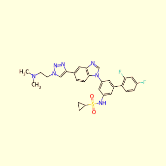 CN(C)CCn1cc(-c2ccc3c(c2)ncn3-c2cc(NS(=O)(=O)C3CC3)cc(-c3ccc(F)cc3F)c2)nn1